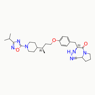 CC(C)c1noc(N2CCC([C@H](C)CCOc3ccc(C[C@H](N)C(=O)N4CCCC4C#N)cc3)CC2)n1